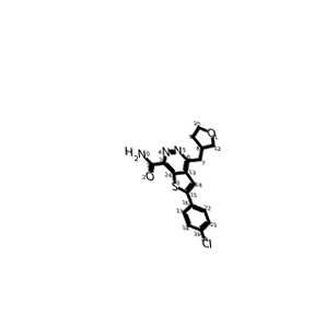 NC(=O)c1nnc(CC2CCOC2)c2cc(-c3ccc(Cl)cc3)sc12